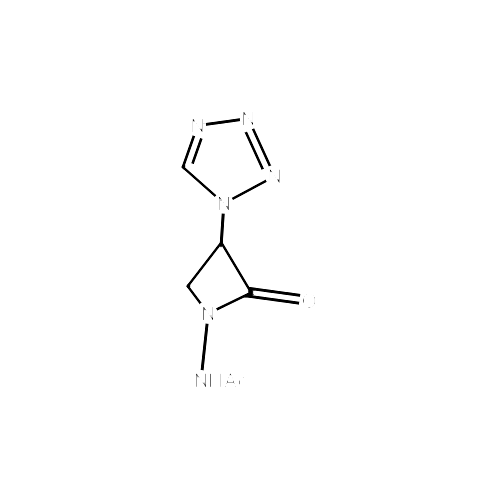 CC(=O)NN1CC(n2cnnn2)C1=O